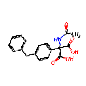 CC(=O)NC(C(=O)O)(C(=O)O)c1ccc(Cc2ccccc2)cc1